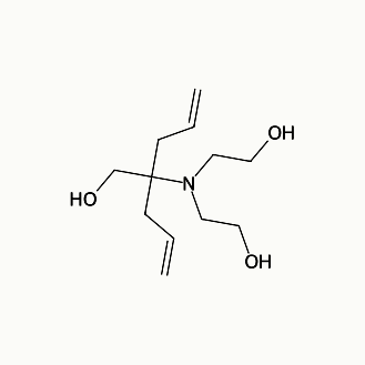 C=CCC(CO)(CC=C)N(CCO)CCO